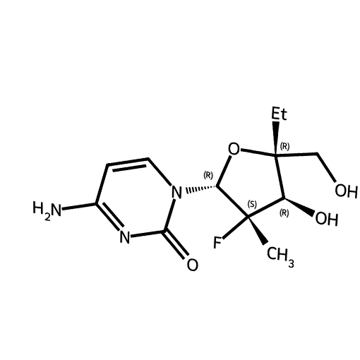 CC[C@]1(CO)O[C@@H](n2ccc(N)nc2=O)[C@@](C)(F)[C@@H]1O